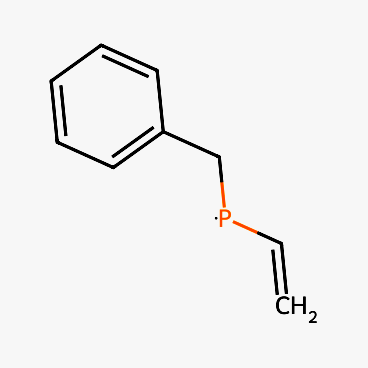 C=C[P]Cc1ccccc1